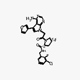 Nc1ncnc2c1c(-c1ccoc1)cn2CC(=O)N1C[C@H](F)C[C@@H]1C(=O)NCc1cccc(Cl)c1F